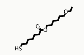 CCOCCCCCCOC(=O)CCCCCCS